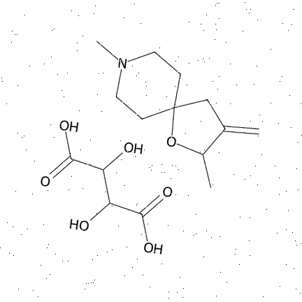 C=C1CC2(CCN(C)CC2)OC1C.O=C(O)C(O)C(O)C(=O)O